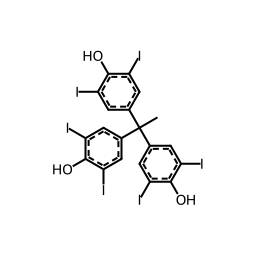 CC(c1cc(I)c(O)c(I)c1)(c1cc(I)c(O)c(I)c1)c1cc(I)c(O)c(I)c1